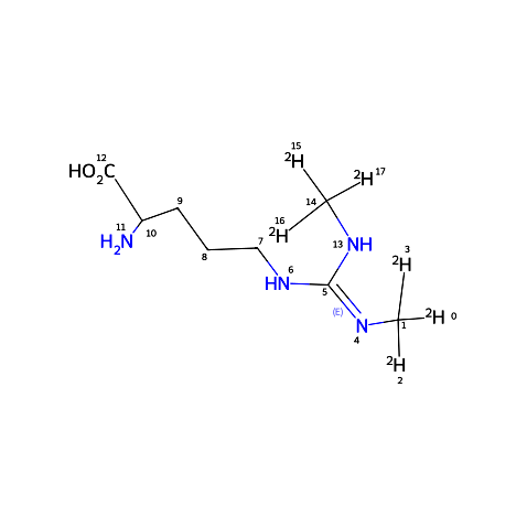 [2H]C([2H])([2H])/N=C(/NCCCC(N)C(=O)O)NC([2H])([2H])[2H]